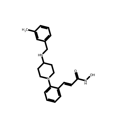 Cc1cccc(CNC2CCN(c3ccccc3C=CC(=O)NO)CC2)c1